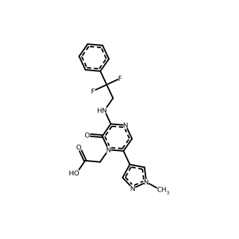 Cn1cc(-c2cnc(NCC(F)(F)c3ccccc3)c(=O)n2CC(=O)O)cn1